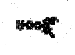 CC(=O)NC1C(=O)N(C2CCN(C3CCC(=C(C)C)CC3)CC2)c2ccc(C#N)cc21